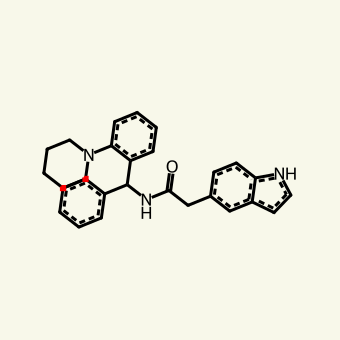 O=C(Cc1ccc2[nH]ccc2c1)NC(c1ccccc1)c1ccccc1N1CCCCC1